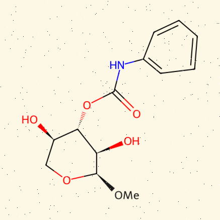 CO[C@H]1OC[C@@H](O)[C@H](OC(=O)Nc2ccccc2)[C@H]1O